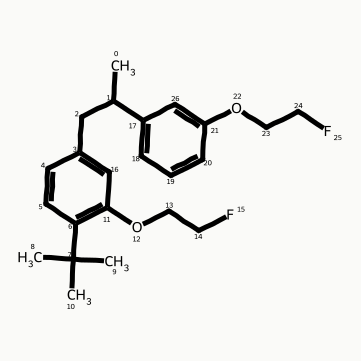 CC(Cc1ccc(C(C)(C)C)c(OCCF)c1)c1cccc(OCCF)c1